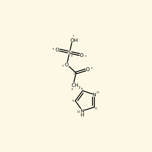 CC(=O)OS(=O)(=O)O.c1c[nH]cn1